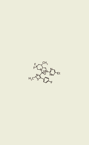 CCc1cnc(NC[C@@H]2C(C)CC(F)(F)CN2C(=O)c2nc(C)sc2-c2ccc(F)cc2)nc1